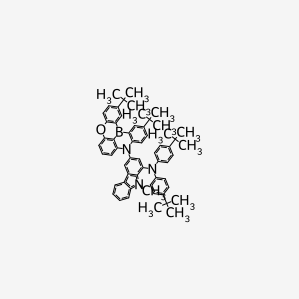 Cn1c2ccccc2c2cc(N3c4ccc(C(C)(C)C)cc4B4c5cc(C(C)(C)C)ccc5Oc5cccc3c54)cc(N(c3ccc(C(C)(C)C)cc3)c3ccc(C(C)(C)C)cc3)c21